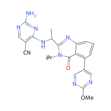 COc1ncc(-c2cccc3nc(C(C)Nc4nc(N)ncc4C#N)n(C(C)C)c(=O)c23)cn1